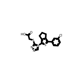 O=C(O)CSc1nncn1-c1sc(-c2cccc(Cl)c2)c2c1CCC2